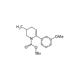 COc1cccc(C2=CCC(C)CN2C(=O)OC(C)(C)C)c1